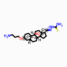 C[C@]12CC[C@H](OCCCN)C[C@H]1CC[C@@H]1[C@@H]2CC[C@]2(C)[C@@H](/C=N/NC(N)=S)CC[C@]12O